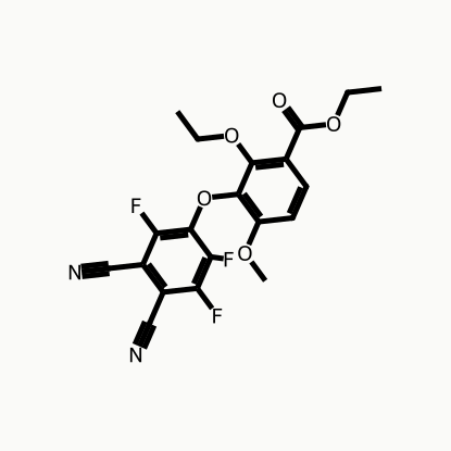 CCOC(=O)c1ccc(OC)c(Oc2c(F)c(F)c(C#N)c(C#N)c2F)c1OCC